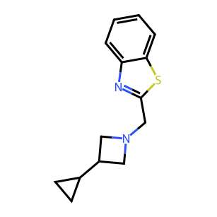 c1ccc2sc(CN3CC(C4CC4)C3)nc2c1